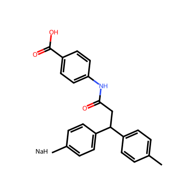 Cc1ccc(C(CC(=O)Nc2ccc(C(=O)O)cc2)c2ccc(C)cc2)cc1.[NaH]